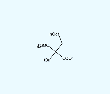 CCCCCCCCCC(C(=O)[O-])(C(=O)[O-])C(C)(C)C.[Ba+2]